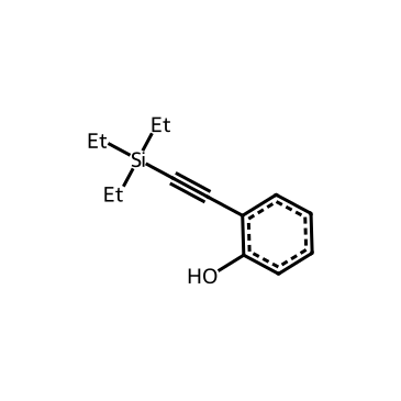 CC[Si](C#Cc1ccccc1O)(CC)CC